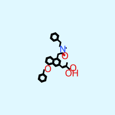 C/C(=C\c1cc(CC(=O)N(C)CCc2ccccc2)c2cccc(OCc3ccccc3)c2c1)C(=O)O